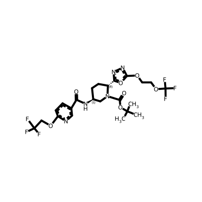 CC(C)(C)OC(=O)N1C[C@@H](NC(=O)c2ccc(OCC(F)(F)F)nc2)CC[C@@H]1c1nnc(OCCOC(F)(F)F)o1